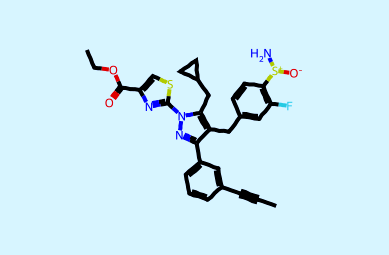 CC#Cc1cccc(-c2nn(-c3nc(C(=O)OCC)cs3)c(CC3CC3)c2Cc2ccc([S+](N)[O-])c(F)c2)c1